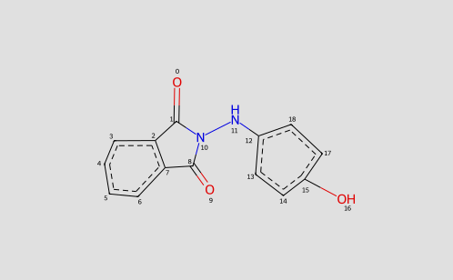 O=C1c2ccccc2C(=O)N1Nc1ccc(O)cc1